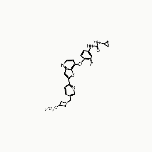 O=C(Nc1ccc(Oc2ccnc3cc(-c4ccc(CN5CC(C(=O)O)C5)cn4)sc23)c(F)c1)NC1CC1